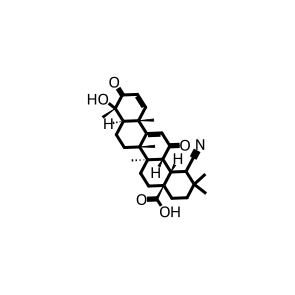 CC1(C)CC[C@]2(C(=O)O)CC[C@]3(C)[C@H](C(=O)C=C4[C@@]5(C)C=CC(=O)[C@@](C)(O)[C@@H]5CC[C@]43C)[C@@H]2C1C#N